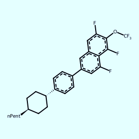 CCCCC[C@H]1CC[C@H](c2ccc(-c3cc(F)c4c(F)c(OC(F)(F)F)c(F)cc4c3)cc2)CC1